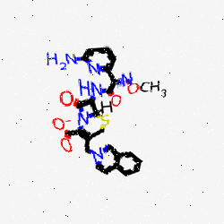 CO/N=C(\C(=O)NC1C(=O)N2C(C(=O)[O-])=C(C[n+]3ccc4ccccc4c3)CS[C@H]12)c1cccc(N)n1